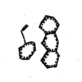 C=Cc1ccccc1.c1ccc2cc3ccccc3cc2c1